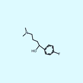 CN(C)CCCC(O)c1ccc(F)cc1